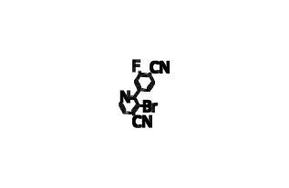 N#Cc1ccc(-c2nccc(C#N)c2Br)cc1F